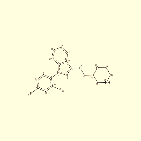 Fc1ccc(-n2nc(OCC3CNCCO3)c3ccccc32)c(F)c1